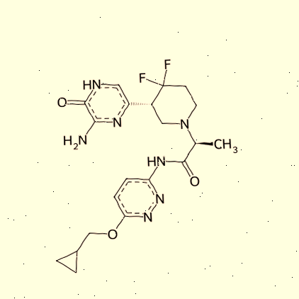 C[C@@H](C(=O)Nc1ccc(OCC2CC2)nn1)N1CCC(F)(F)[C@@H](c2c[nH]c(=O)c(N)n2)C1